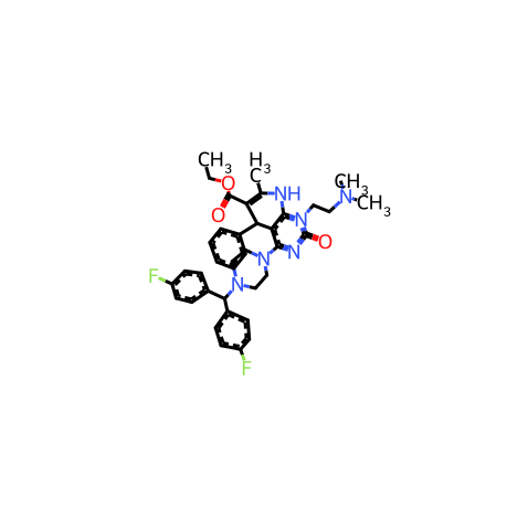 CCOC(=O)C1=C(C)Nc2c(c(N3CCN(C(c4ccc(F)cc4)c4ccc(F)cc4)CC3)nc(=O)n2CCN(C)C)C1c1ccccc1